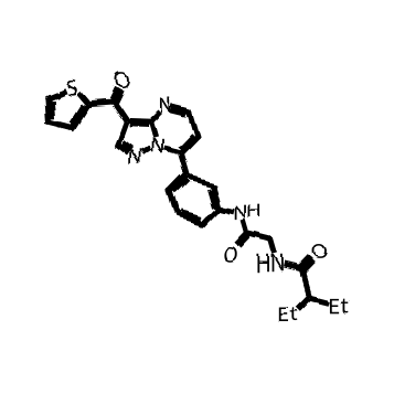 CCC(CC)C(=O)NCC(=O)Nc1cccc(-c2ccnc3c(C(=O)c4cccs4)cnn23)c1